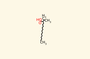 CCCCCCCCCCCCCC(C(=O)O)C(C)C